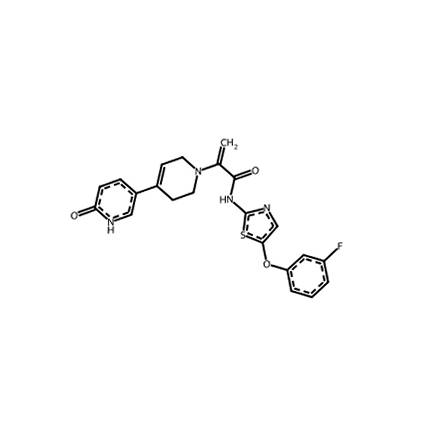 C=C(C(=O)Nc1ncc(Oc2cccc(F)c2)s1)N1CC=C(c2ccc(=O)[nH]c2)CC1